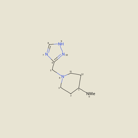 CNC1CCN(Cc2nc[nH]n2)CC1